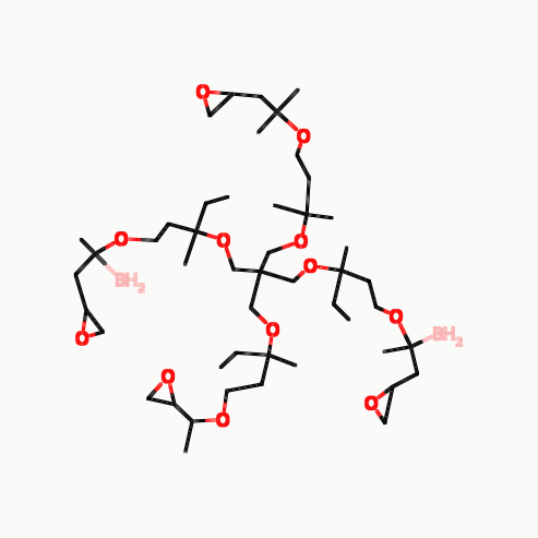 BC(C)(CC1CO1)OCCC(C)(CC)OCC(COC(C)(C)CCOC(C)(C)CC1CO1)(COC(C)(CC)CCOC(C)C1CO1)COC(C)(CC)CCOC(B)(C)CC1CO1